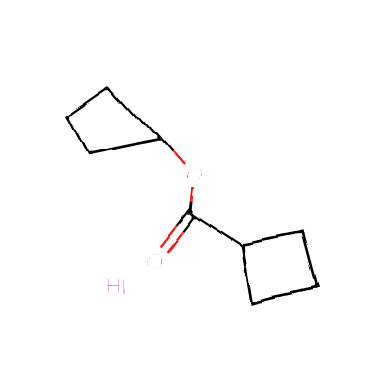 I.O=C(OC1CCC1)C1CCC1